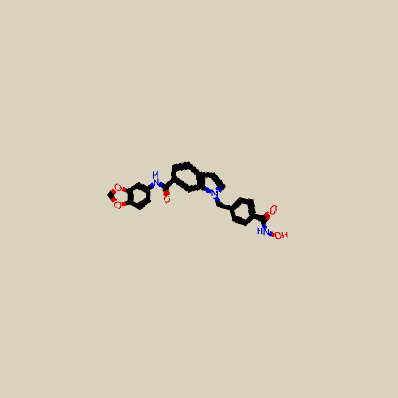 O=C(NO)c1ccc(Cn2ccc3ccc(C(=O)Nc4ccc5c(c4)OCO5)cc32)cc1